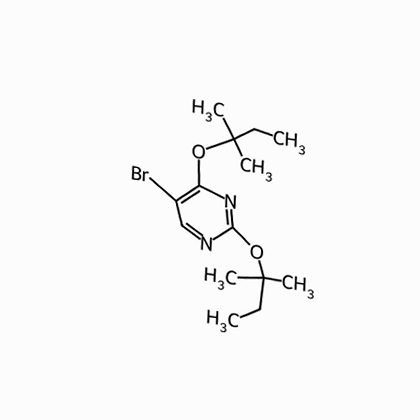 CCC(C)(C)Oc1ncc(Br)c(OC(C)(C)CC)n1